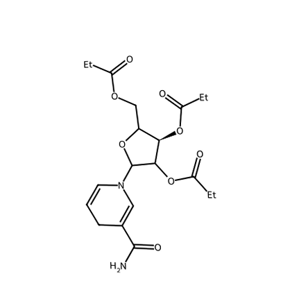 CCC(=O)OCC1OC(N2C=CCC(C(N)=O)=C2)C(OC(=O)CC)[C@@H]1OC(=O)CC